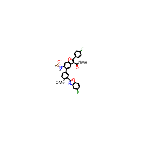 CNC(=O)c1c(-c2ccc(F)cc2)oc2cc(N(C)[S+](C)[O-])c(-c3ccc(OC)c(-c4nc5cc(F)ccc5o4)c3)cc12